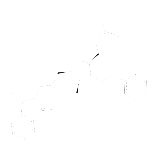 C[C@@H]1C(OCc2ccccc2)[C@H](COC(=O)C(C)(C)C)O[C@@H]1CC(O)CN1C(=O)c2ccccc2C1=O